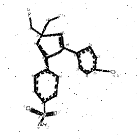 NS(=O)(=O)c1ccc(C2=CC(CF)(CF)C=C2c2ccc(C(F)(F)F)cc2)cc1